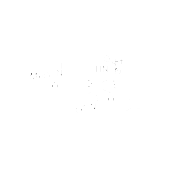 CCS(=O)(=O)Nc1ccc(Oc2c(C)cc(F)cc2C)c(-c2cn(C)c(=O)cc2O[C@H]2CC[C@H](NC(=O)OC)CC2)c1